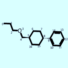 CCCOC[C@H]1CC[C@H](c2ccccc2)CC1